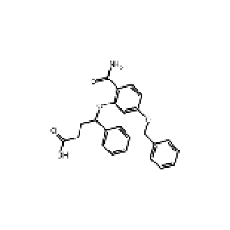 NC(=O)c1ccc(OCc2ccccc2)cc1OC(CCC(=O)O)c1ccccc1